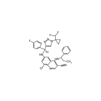 [2H]C(Nc1cc(Cl)c2ncc(C#N)c(NC(CC)c3ccccc3)c2c1)(c1ccc(F)cc1)c1cn(C2(C(F)F)CC2)nn1